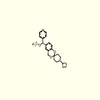 COC(c1ccncc1)c1ccc2c(c1)COC1(CCN(C3CCC3)CC1)O2